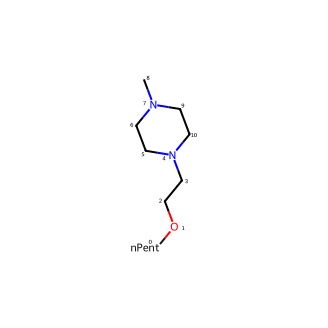 CCCCCOCCN1CCN(C)CC1